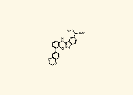 COC(OC)c1ccc2snc(Nc3cccc(-c4ccc5c(c4)OCCO5)c3Cl)c2c1